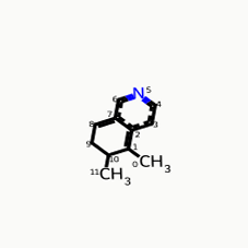 CC1=c2ccncc2=CCC1C